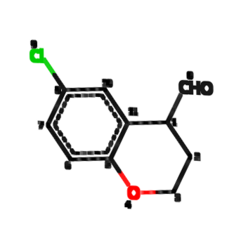 O=CC1CCOc2ccc(Cl)cc21